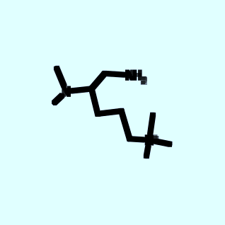 CN(C)C(CN)CCC[N+](C)(C)C